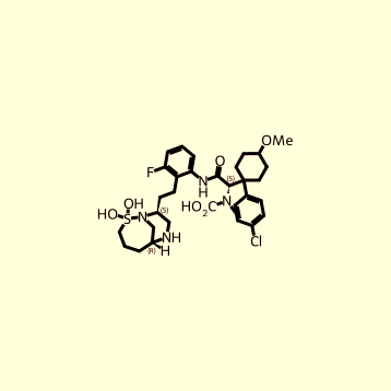 COC1CCC(c2ccc(Cl)cc2)([C@@H](C(=O)Nc2cccc(F)c2CC[C@H]2CN[C@@H]3CCCS(O)(O)N2C3)N(C)C(=O)O)CC1